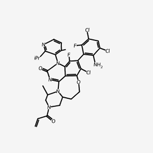 C=CC(=O)N1CC(C)N2c3nc(=O)n(-c4c(C)ccnc4C(C)C)c4c(F)c(-c5c(N)c(Cl)cc(Cl)c5F)c(Cl)c(c34)OCCC2C1